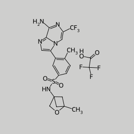 Cc1ccc(S(=O)(=O)NC23COC(C)(C2)C3)cc1-c1cnc2c(N)nc(C(F)(F)F)cn12.O=C(O)C(F)(F)F